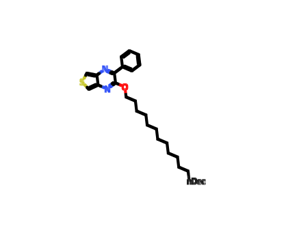 CCCCCCCCCCCCCCCCCCCCCCOc1nc2cscc2nc1-c1ccccc1